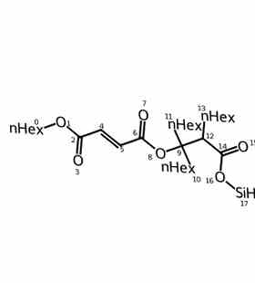 CCCCCCOC(=O)/C=C/C(=O)OC(CCCCCC)(CCCCCC)C(CCCCCC)C(=O)O[SiH3]